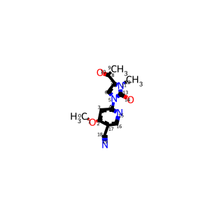 COc1cc(-n2cc(C(C)=O)n(C)c2=O)ncc1C#N